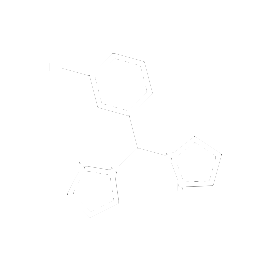 Brc1cccc(C(n2cccn2)n2cccn2)c1